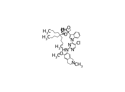 CCCCC(CCCC)(CCCC)[SiH](C)OC1(c2cn(-c3nc(Nc4cc5c(cc4OC)CCN(C)C5)ncc3Cl)c3ccccc23)COC1